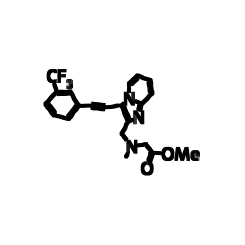 COC(=O)CN(C)Cc1nc2ccccn2c1C#Cc1cccc(C(F)(F)F)c1